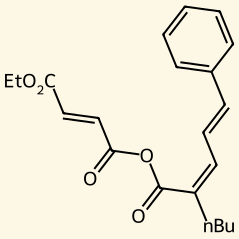 CCCCC(=CC=Cc1ccccc1)C(=O)OC(=O)C=CC(=O)OCC